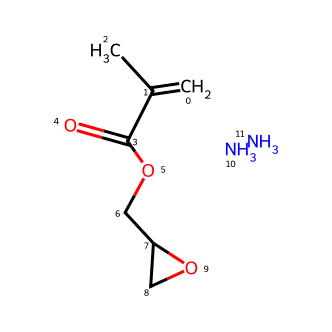 C=C(C)C(=O)OCC1CO1.N.N